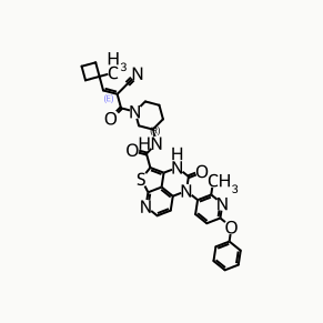 Cc1nc(Oc2ccccc2)ccc1N1C(=O)Nc2c(C(=O)N[C@@H]3CCCN(C(=O)/C(C#N)=C/C4(C)CCC4)C3)sc3nccc1c23